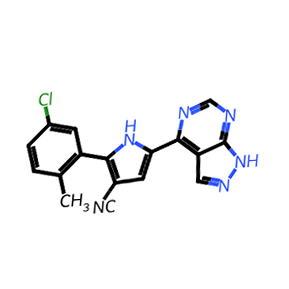 Cc1ccc(Cl)cc1-c1[nH]c(-c2ncnc3[nH]ncc23)cc1C#N